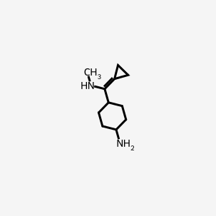 CNC(=C1CC1)C1CCC(N)CC1